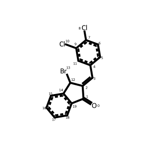 O=C1/C(=C/c2ccc(Cl)c(Cl)c2)C(Br)c2ccccc21